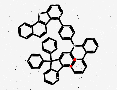 c1ccc(-c2ccccc2N(c2ccc(-c3cccc4oc5c6ccccc6ccc5c34)cc2)c2ccc3c(c2)C(c2ccccc2)(c2ccccc2)c2ccccc2-3)cc1